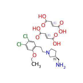 CCOc1cc(Cl)c(Cl)cc1CCN1CC[C@@H](CN)C1.O=C(O)/C=C/C(=O)O.O=C(O)/C=C/C(=O)O